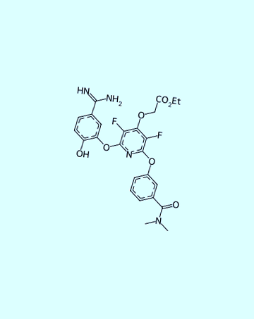 CCOC(=O)COc1c(F)c(Oc2cccc(C(=O)N(C)C)c2)nc(Oc2cc(C(=N)N)ccc2O)c1F